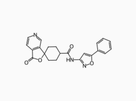 O=C1OC2(CCC(C(=O)Nc3cc(-c4ccccc4)on3)CC2)c2cnccc21